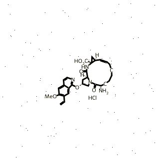 C=Cc1cc2c(O[C@@H]3C[C@H]4C(=O)N[C@]5(C(=O)O)C[C@H]5/C=C\CCCCC[C@H](N)C(=O)N4C3)nccc2cc1OC.Cl